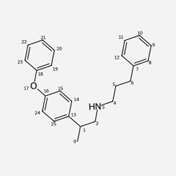 CC(CNCCCc1ccccc1)c1ccc(Oc2ccccc2)cc1